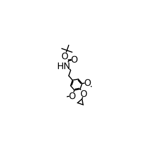 COc1cc(CCNC(=O)OC(C)(C)C)cc(OC)c1OC1CC1